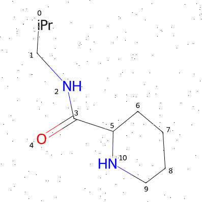 CC(C)CNC(=O)C1CCCCN1